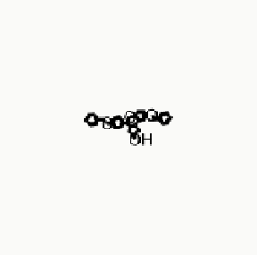 OC1CC2c3cc(OCc4ccccc4)ccc3OC(c3ccc(OCc4ccccc4)cc3)C2C1